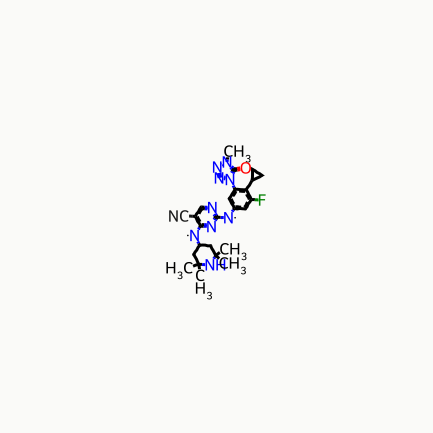 Cn1nnn(-c2cc([N]c3ncc(C#N)c([N]C4CC(C)(C)NC(C)(C)C4)n3)cc(F)c2C2CC2)c1=O